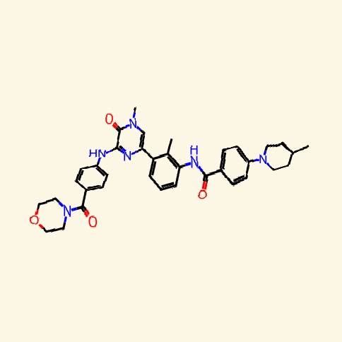 Cc1c(NC(=O)c2ccc(N3CCC(C)CC3)cc2)cccc1-c1cn(C)c(=O)c(Nc2ccc(C(=O)N3CCOCC3)cc2)n1